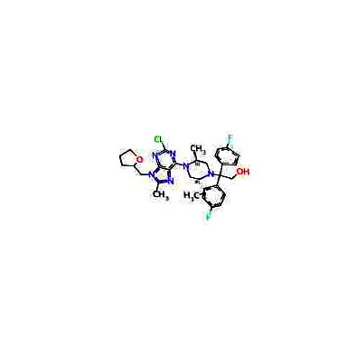 CC[C@@H]1CN(c2nc(Cl)nc3c2nc(C)n3CC2CCCO2)[C@@H](C)CN1C(CO)(c1ccc(F)cc1)c1ccc(F)cc1